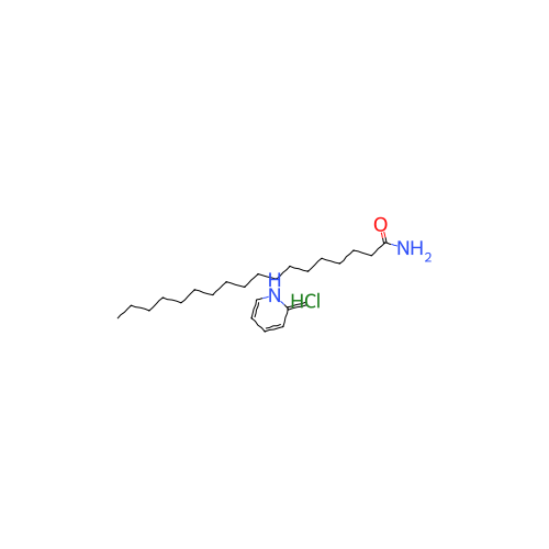 C=C1C=CC=CN1.CCCCCCCCCCCCCCCCCC(N)=O.Cl